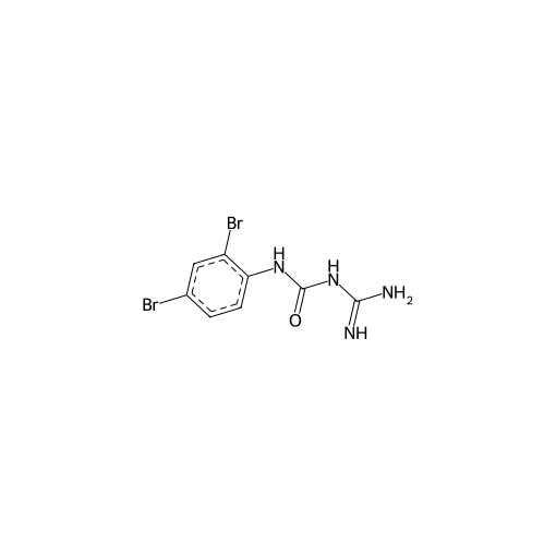 N=C(N)NC(=O)Nc1ccc(Br)cc1Br